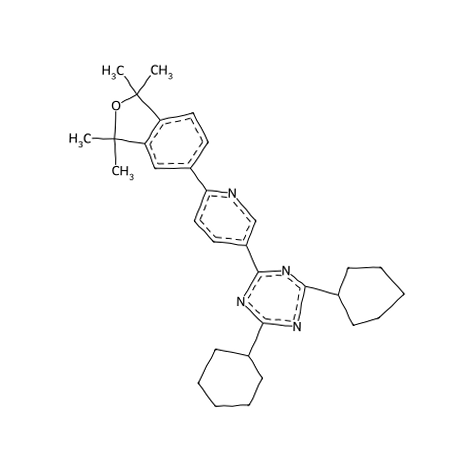 CC1(C)OC(C)(C)c2cc(-c3ccc(-c4nc(C5CCCCC5)nc(C5CCCCC5)n4)cn3)ccc21